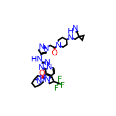 N#CC1(CNC2CCN(C(=O)Cn3cc(Nc4nc5c(N6CC7CCC(C6)N7C(=O)N6CC(C(F)(F)F)C6)cccn5n4)cn3)CC2)CC1